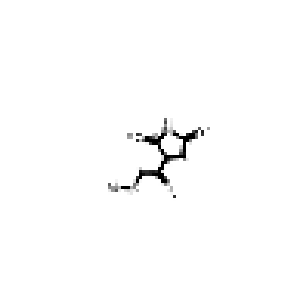 CC(=O)SCC(=O)C1CC(=O)NC1=O